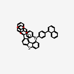 c1ccc(-c2ccc(N(c3ccc(-c4cccc5ccccc45)cc3)c3cccc4sc5ccc6c7cc8ccccc8cc7oc6c5c34)cc2)cc1